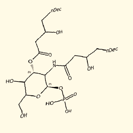 CCCCCCCCCCCC(O)CC(=O)NC1[C@@H](OP(=O)(O)O)OC(CO)C(O)[C@@H]1OC(=O)CC(O)CCCCCCCCCCC